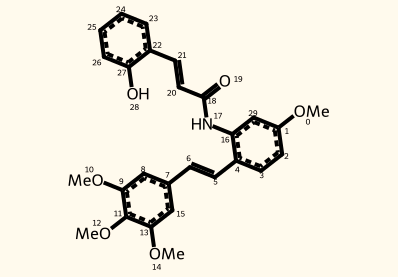 COc1ccc(C=Cc2cc(OC)c(OC)c(OC)c2)c(NC(=O)/C=C/c2ccccc2O)c1